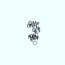 CNC[C@H](CC1CCCCC1)NC(=O)N1CCC[C@@H]([C@@H](OCCNC(=O)OC)c2nccs2)C1